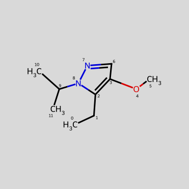 CCc1c(OC)cnn1C(C)C